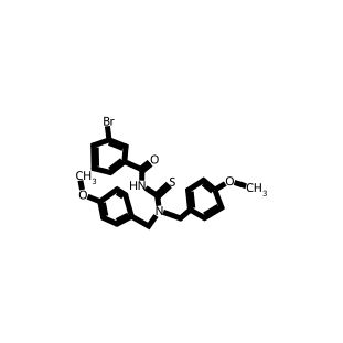 COc1ccc(CN(Cc2ccc(OC)cc2)C(=S)NC(=O)c2cccc(Br)c2)cc1